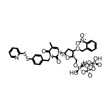 Cc1cn([C@H]2CC(OCc3ccccc3[N+](=O)[O-])[C@@H](COP(=O)(O)OP(=O)(O)OP(=O)(O)O)O2)c(=O)n(Cc2ccc(SSc3ccccn3)cc2)c1=O